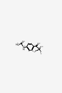 O=C(O)Nc1ccc(C(=O)C(F)(F)F)cc1